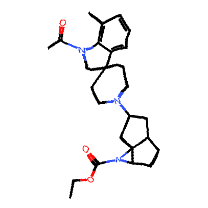 CCOC(=O)N1C2CCC3CC(N4CCC5(CC4)CN(C(C)=O)c4c(C)cccc45)CC321